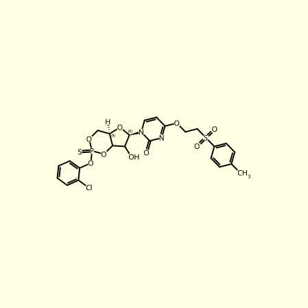 Cc1ccc(S(=O)(=O)CCOc2ccn([C@@H]3O[C@@H]4COP(=S)(Oc5ccccc5Cl)OC4C3O)c(=O)n2)cc1